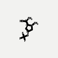 C[C@H](O)[C@@H]1C[C@@H](OC(F)(F)F)CN1C